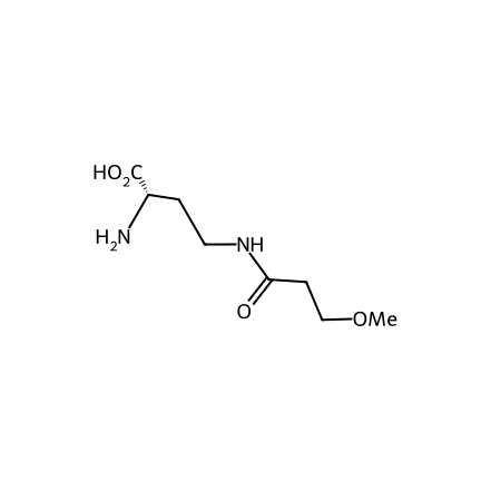 COCCC(=O)NCC[C@H](N)C(=O)O